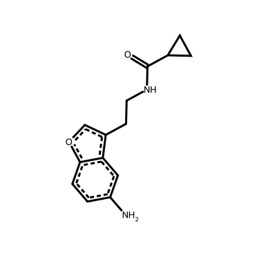 Nc1ccc2occ(CCNC(=O)C3CC3)c2c1